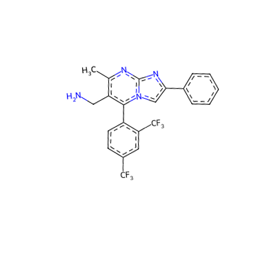 Cc1nc2nc(-c3ccccc3)cn2c(-c2ccc(C(F)(F)F)cc2C(F)(F)F)c1CN